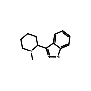 CN1CCCCC1c1n[nH]c2ccccc12